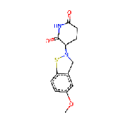 COc1ccc2c(c1)CN(C1CCC(=O)NC1=O)S2